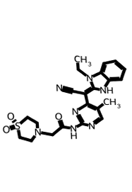 CCN1/C(=C(\C#N)c2nc(NC(=O)CN3CCS(=O)(=O)CC3)ncc2C)Nc2ccccc21